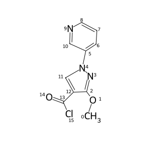 COc1nn(-c2cccnc2)cc1C(=O)Cl